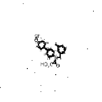 Cc1cccc(CN(C(=O)C(=O)O)c2ccc(-c3ccc(OC(F)(F)F)cc3)cc2)c1